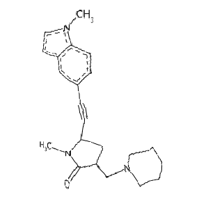 CN1C(=O)C(CN2CCCCC2)CC1C#Cc1ccc2c(ccn2C)c1